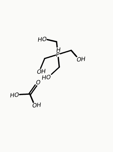 O=C(O)O.OC[PH](CO)(CO)CO